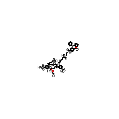 COCCOCC[N+]1=C(/C=C/C=C2/N(CCCCCC(=O)NCCNC(=O)c3ccc(C(=O)OC)c(P(c4ccccc4)c4ccccc4)c3)c3ccc(S(=O)(=O)[O-])cc3C2(C)CCCS(=O)(=O)O)C(C)(CCCS(=O)(=O)O)c2cc(S(=O)(=O)O)ccc21